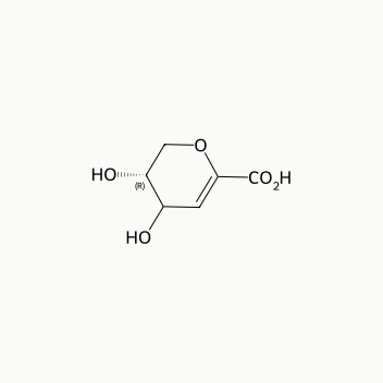 O=C(O)C1=CC(O)[C@H](O)CO1